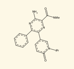 CNC(=O)c1nc(-c2ccc(=O)n(C(C)C)c2)c(-c2ccccc2)nc1N